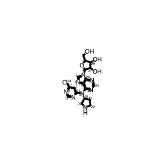 OCC1OC(n2cnc3c(N(c4cc(Cl)ncn4)[C@H]4CCNC4)ncnc32)C(O)C1O